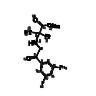 CCC(CC)(NCC(=O)c1cc(F)cc(F)c1)C(=O)OC